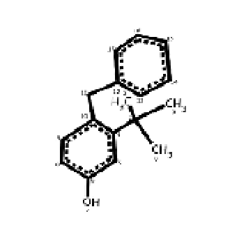 CC(C)(C)c1cc(O)ccc1Cc1ccccc1